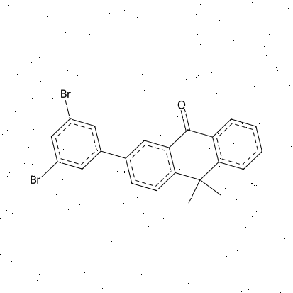 CC1(C)c2ccccc2C(=O)c2cc(-c3cc(Br)cc(Br)c3)ccc21